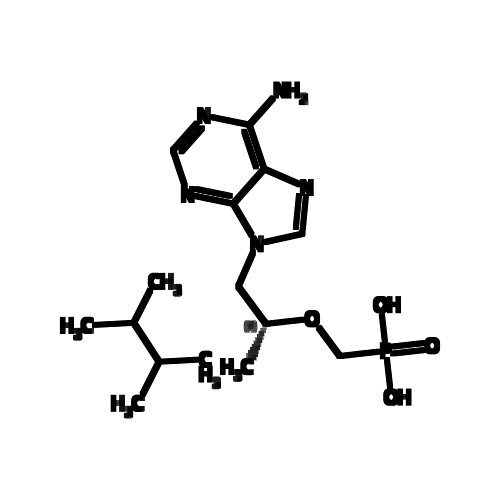 CC(C)C(C)C.C[C@H](Cn1cnc2c(N)ncnc21)OCP(=O)(O)O